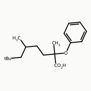 CC(CCC(C)(Oc1ccccc1)C(=O)O)CC(C)(C)C